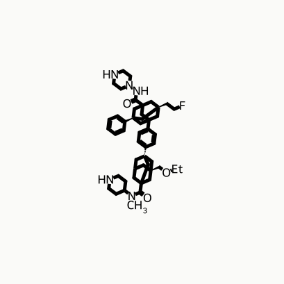 CCOC[C@]12CC3CC(C(=O)N(C)C4CCNCC4)(C1)C[C@@](c1ccc(C45CC6(C(=O)NN7CCNCC7)C[C@](CCF)(C4)C[C@@](c4ccccc4)(C6)C5)cc1)(C3)C2